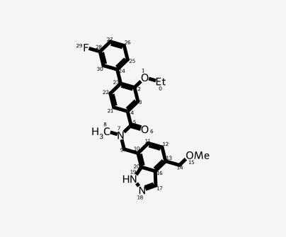 CCOc1cc(C(=O)N(C)Cc2ccc(COC)c3cn[nH]c23)ccc1-c1cccc(F)c1